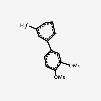 COc1ccc(-c2[c]ccc(C)c2)cc1OC